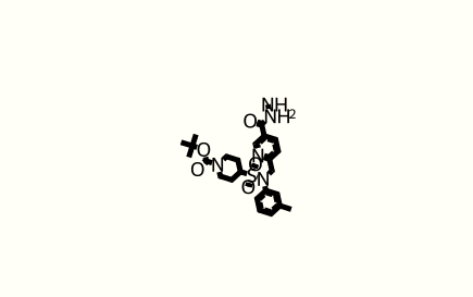 Cc1cccc(N(Cc2ccc(C(=O)NN)cn2)S(=O)(=O)C2CCN(C(=O)OC(C)(C)C)CC2)c1